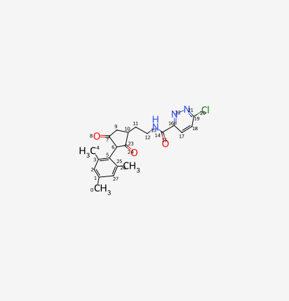 Cc1cc(C)c(C2C(=O)CC(CCNC(=O)c3ccc(Cl)nn3)C2=O)c(C)c1